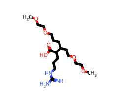 COCCOCCCC(CCOCCOC)C(CCCNC(=N)N)C(=O)O